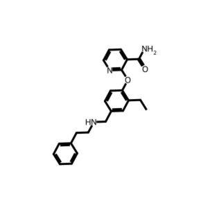 CCc1cc(CNCCc2ccccc2)ccc1Oc1ncccc1C(N)=O